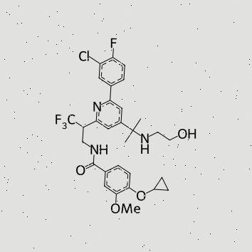 COc1cc(C(=O)NCC(c2cc(C(C)(C)NCCO)cc(-c3ccc(F)c(Cl)c3)n2)C(F)(F)F)ccc1OC1CC1